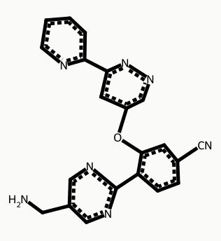 N#Cc1ccc(-c2ncc(CN)cn2)c(Oc2cnnc(-c3ccccn3)c2)c1